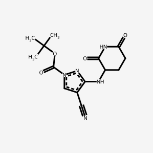 CC(C)(C)OC(=O)n1cc(C#N)c(NC2CCC(=O)NC2=O)n1